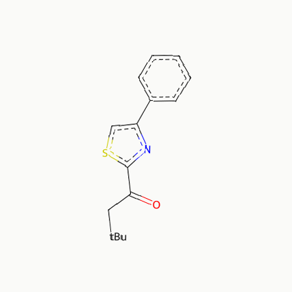 CC(C)(C)CC(=O)c1nc(-c2ccccc2)cs1